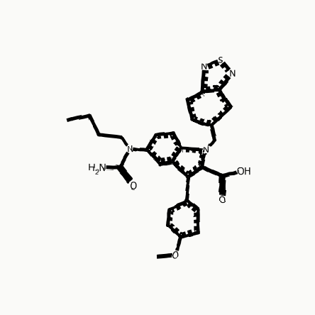 CCCCN(C(N)=O)c1ccc2c(c1)c(-c1ccc(OC)cc1)c(C(=O)O)n2Cc1ccc2nsnc2c1